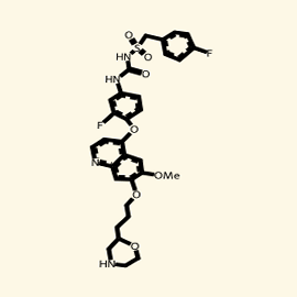 COc1cc2c(Oc3ccc(NC(=O)NS(=O)(=O)Cc4ccc(F)cc4)cc3F)ccnc2cc1OCCCC1CNCCO1